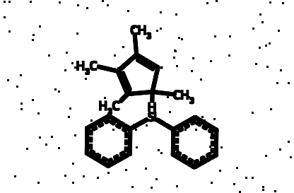 CC1=[C]C(C)([SiH](c2ccccc2)c2ccccc2)C(C)=C1C